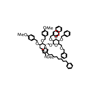 CCCCCCCCCCCCCC[C@@H](OCc1ccc(OC)cc1)[C@@H](OCc1ccc(OC)cc1)[C@H](CO[C@H]1OC(COCc2ccccc2)[C@H](OCc2ccccc2)[C@@H](OCc2ccccc2)[C@@H]1OCc1ccccc1)n1cc(CCCCCCCCc2ccccc2)nn1